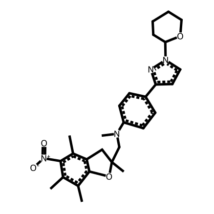 Cc1c(C)c([N+](=O)[O-])c(C)c2c1OC(C)(CN(C)c1ccc(-c3ccn(C4CCCCO4)n3)cc1)C2